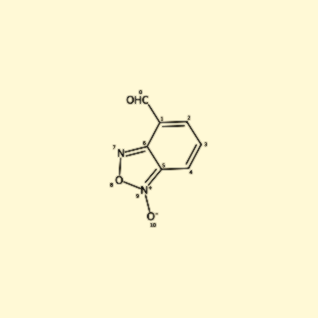 O=Cc1cccc2c1no[n+]2[O-]